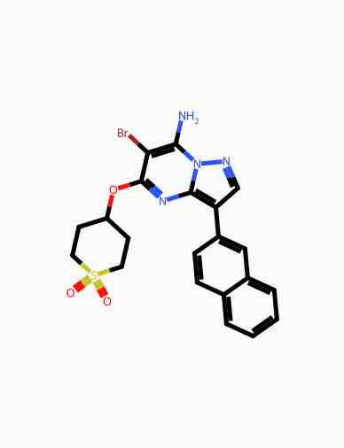 Nc1c(Br)c(OC2CCS(=O)(=O)CC2)nc2c(-c3ccc4ccccc4c3)cnn12